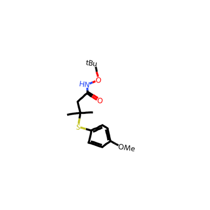 COc1ccc(SC(C)(C)CC(=O)NOC(C)(C)C)cc1